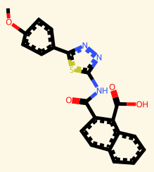 COc1ccc(-c2nnc(NC(=O)c3ccc4ccccc4c3C(=O)O)s2)cc1